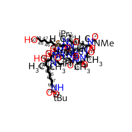 CNC(=O)N(C)C(=O)[C@H](CC(C)C)N(C)C(=O)C(C)NC(=O)[C@@H](C)NC(=O)[C@H](CC(C)C)N(C)C(=O)[C@@H](NC(=O)[C@H](CC(C)C)N(C)C(=O)[C@@H](SCCCCCCO)N(C)C(=O)NC(=O)C([C@H](O)[C@H](C)CCCCCCNC(=O)OC(C)(C)C)N(C)C(=O)CC(C)C)C(C)C